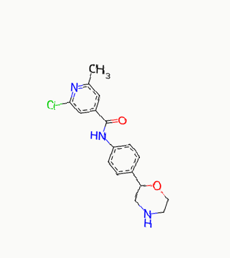 Cc1cc(C(=O)Nc2ccc(C3CNCCO3)cc2)cc(Cl)n1